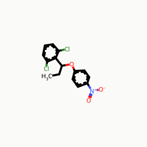 CCC(Oc1ccc([N+](=O)[O-])cc1)c1c(Cl)cccc1Cl